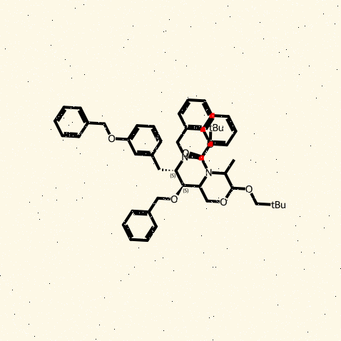 CC1C(OCC(C)(C)C)OCC([C@@H](OCc2ccccc2)[C@H](Cc2cccc(OCc3ccccc3)c2)N(Cc2ccccc2)Cc2ccccc2)N1C(=O)OC(C)(C)C